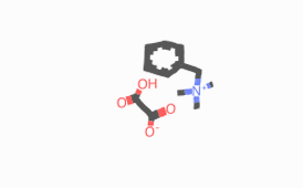 C[N+](C)(C)Cc1ccccc1.O=C([O-])C(=O)O